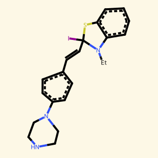 CCN1c2ccccc2SC1(I)C=Cc1ccc(N2CCNCC2)cc1